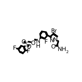 NC(=O)Cn1cc(Br)c(-c2cccc(NCOCS(=O)(=O)c3cc(F)ccc3F)c2F)n1